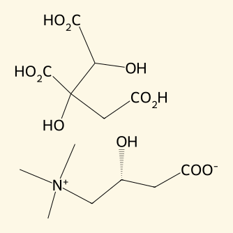 C[N+](C)(C)C[C@H](O)CC(=O)[O-].O=C(O)CC(O)(C(=O)O)C(O)C(=O)O